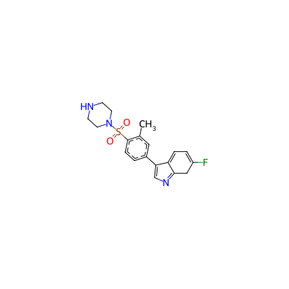 Cc1cc(C2=CN=C3CC(F)=CC=C23)ccc1S(=O)(=O)N1CCNCC1